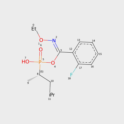 CCON=C(OP(=O)(O)[C@@H](C)CC(C)C)c1ccccc1F